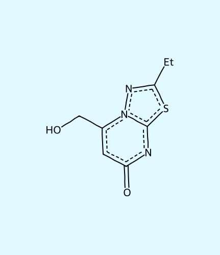 CCc1nn2c(CO)cc(=O)nc2s1